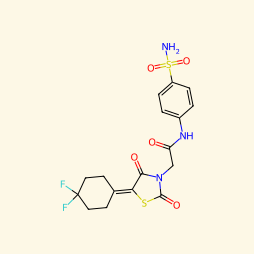 NS(=O)(=O)c1ccc(NC(=O)CN2C(=O)SC(=C3CCC(F)(F)CC3)C2=O)cc1